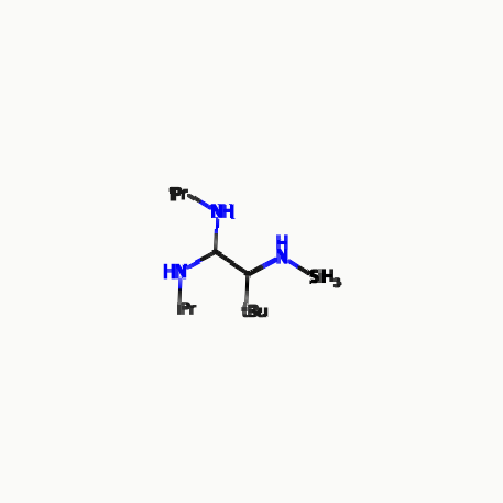 CC(C)NC(NC(C)C)C(N[SiH3])C(C)(C)C